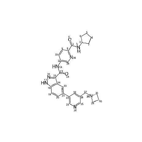 O=C(NC1CCCC1)c1ccc(NC(=O)c2n[nH]c3ccc(-c4cncc(CN5CCC5)c4)cc23)cn1